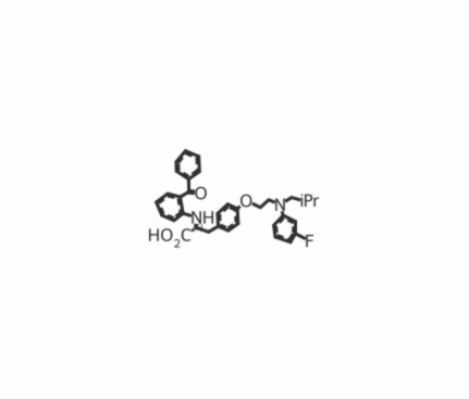 CC(C)CN(CCOc1ccc(C[C@H](Nc2ccccc2C(=O)c2ccccc2)C(=O)O)cc1)c1cccc(F)c1